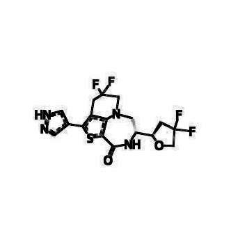 O=C1N[C@@H]([C@H]2CC(F)(F)CO2)CN2CC(F)(F)Cc3c(-c4cn[nH]c4)sc1c32